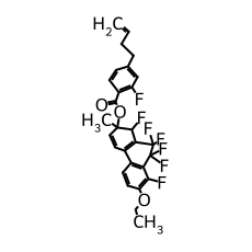 C=CCCc1ccc(C(=O)OC2(C)C=CC3=C(C2F)C(F)(F)C(F)(F)c2c3ccc(OCC)c2F)c(F)c1